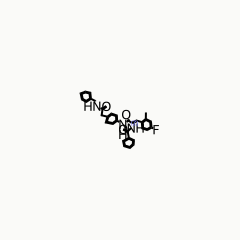 Cc1cc(F)ccc1/C=C(\NC(=O)c1ccccc1)C(=O)Nc1ccc(CC(=O)NCc2ccccc2)cc1